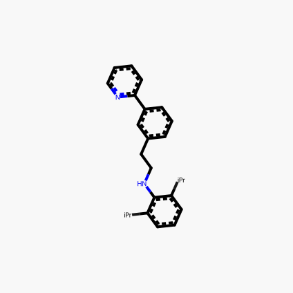 CC(C)c1cccc(C(C)C)c1NCCc1cccc(-c2ccccn2)c1